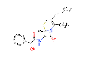 O=C(O)C=CC1=C(C(=O)O)N2C(=O)C(NC(=O)C(O)c3ccccc3)[C@@H]2SC1